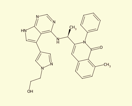 Cc1cccc2cc([C@H](C)Nc3ncnc4[nH]cc(-c5cnn(CCO)c5)c34)n(-c3ccccc3)c(=O)c12